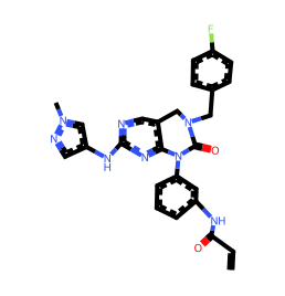 C=CC(=O)Nc1cccc(N2C(=O)N(Cc3ccc(F)cc3)Cc3cnc(Nc4cnn(C)c4)nc32)c1